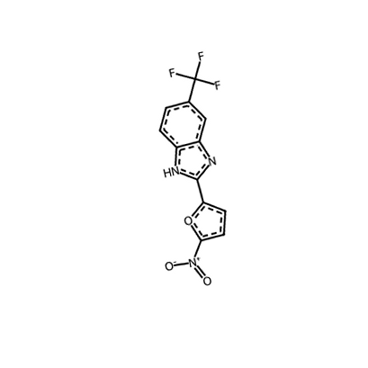 O=[N+]([O-])c1ccc(-c2nc3cc(C(F)(F)F)ccc3[nH]2)o1